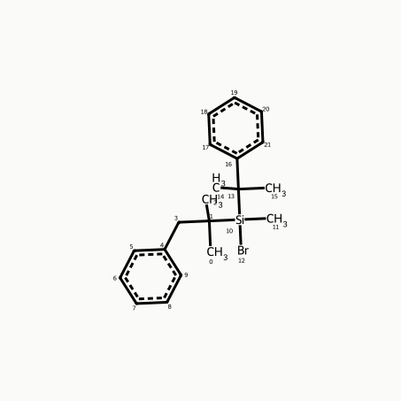 CC(C)(Cc1ccccc1)[Si](C)(Br)C(C)(C)c1ccccc1